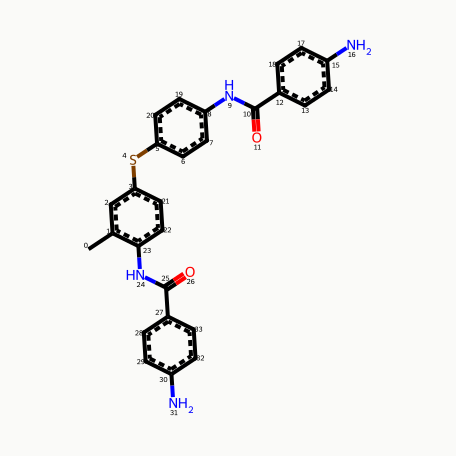 Cc1cc(Sc2ccc(NC(=O)c3ccc(N)cc3)cc2)ccc1NC(=O)c1ccc(N)cc1